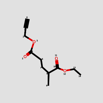 C#CCOC(=O)CCC(C)C(=O)OCC